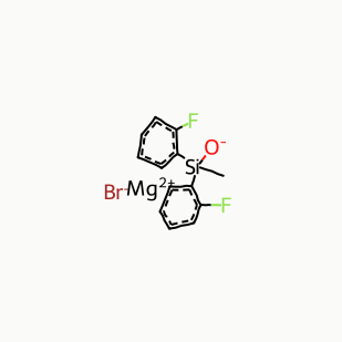 C[Si]([O-])(c1ccccc1F)c1ccccc1F.[Br-].[Mg+2]